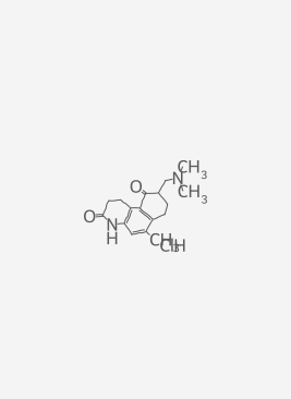 Cc1cc2c(c3c1CCC(CN(C)C)C3=O)CCC(=O)N2.Cl